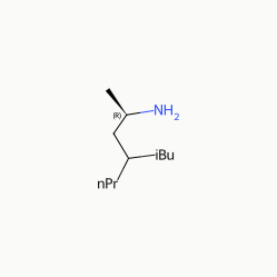 CCCC(C[C@@H](C)N)C(C)CC